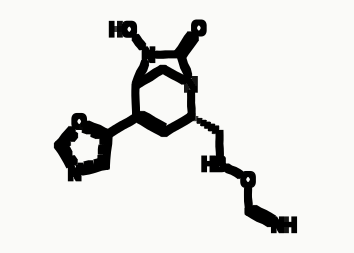 N=COBC[C@@H]1C=C(c2cnco2)C2CN1C(=O)N2O